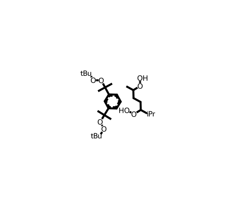 CC(C)(C)OOC(C)(C)c1cccc(C(C)(C)OOC(C)(C)C)c1.CC(CCC(OO)C(C)C)OO